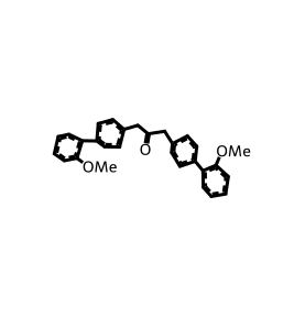 COc1ccccc1-c1ccc(CC(=O)Cc2ccc(-c3ccccc3OC)cc2)cc1